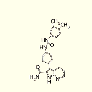 Cc1ccc(NC(=O)Nc2ccc(-c3c(C(N)=O)[nH]c4ncccc34)cc2)cc1C